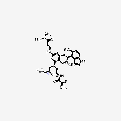 C=C(F)C(=O)NCCN(C/C(C)=C\C)c1nc(NCCC(=O)N(C)C)nc2c1CN(C)C(c1c(C)ccc3[nH]ncc13)C2